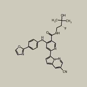 CC(C)(O)[C@H](F)CNC(=O)c1cnc(-c2ccc3cc(C#N)cnn23)cc1Nc1ccc(-c2ncco2)cc1